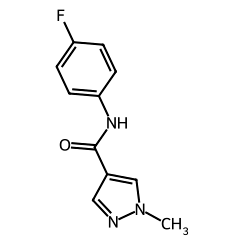 Cn1cc(C(=O)Nc2ccc(F)cc2)cn1